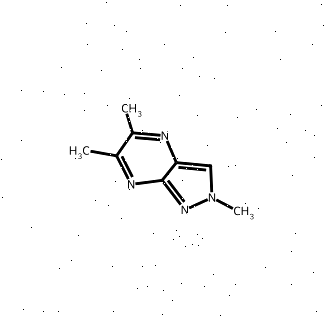 Cc1nc2cn(C)nc2nc1C